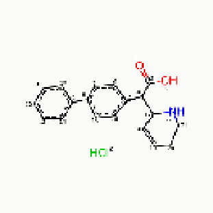 Cl.O=C(O)[C@H](c1ccc(-c2ccccc2)cc1)C1C=CCCN1